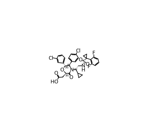 O=C(O)C[C@H]1O[C@H](c2cccc(Cl)c2)[C@@H](c2ccc(Cl)cc2)N([C@H](CNS(=O)(=O)C2(c3c(F)cccc3F)CC2)C2CC2)C1=O